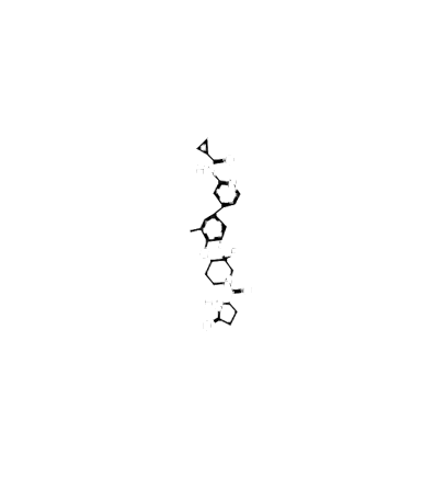 Cc1cc(-c2ccnc(NC(=O)C3CC3)c2)ccc1O[C@H]1CCN(C(=O)[C@@H]2CCC(=O)N2)CC1(F)F